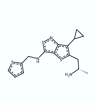 C[C@H](N)Cc1sc2c(NCc3cccs3)snc2c1C1CC1